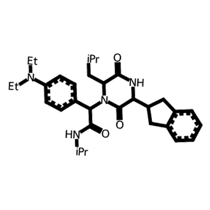 CCN(CC)c1ccc(C(C(=O)NC(C)C)N2C(=O)C(C3Cc4ccccc4C3)NC(=O)C2CC(C)C)cc1